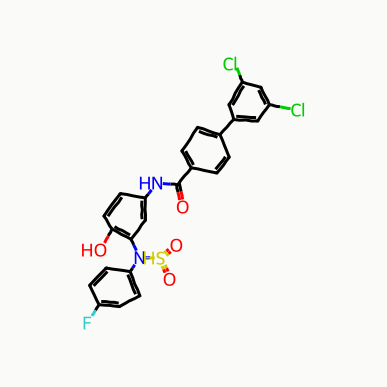 O=C(Nc1ccc(O)c(N(c2ccc(F)cc2)[SH](=O)=O)c1)c1ccc(-c2cc(Cl)cc(Cl)c2)cc1